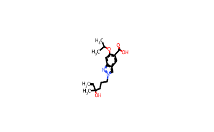 C=CC(C)(O)CCCn1cc2cc(C(=O)O)c(OC(C)C)cc2n1